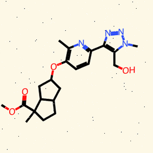 COC(=O)C1(C)CCC2CC(Oc3ccc(-c4nnn(C)c4CO)nc3C)CC21